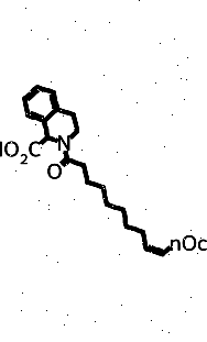 CCCCCCCC/C=C\CCCCCCCC(=O)N1CCc2ccccc2C1C(=O)O